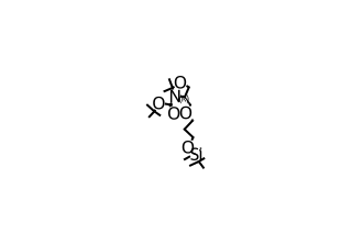 CC(C)(C)OC(=O)N1[C@H](COCCCO[Si](C)(C)C(C)(C)C)COC1(C)C